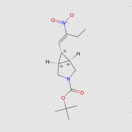 CCC(=C[C@@H]1[C@H]2CN(C(=O)OC(C)(C)C)C[C@@H]12)[N+](=O)[O-]